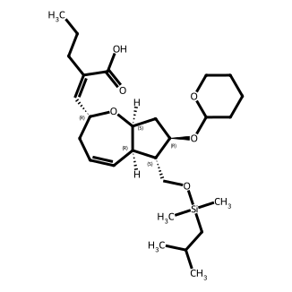 CCCC(=C[C@H]1CC=C[C@@H]2[C@@H](CO[Si](C)(C)CC(C)C)[C@H](OC3CCCCO3)C[C@@H]2O1)C(=O)O